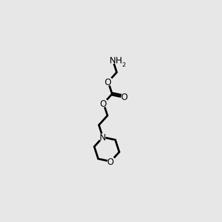 NCOC(=O)OCCN1CCOCC1